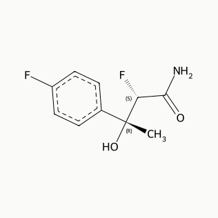 C[C@@](O)(c1ccc(F)cc1)[C@H](F)C(N)=O